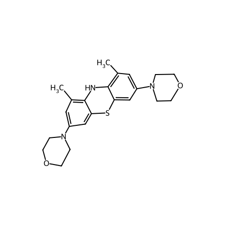 Cc1cc(N2CCOCC2)cc2c1Nc1c(C)cc(N3CCOCC3)cc1S2